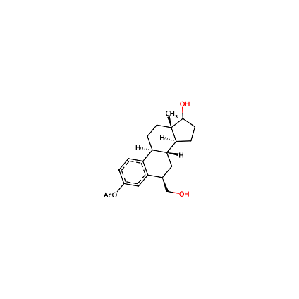 CC(=O)Oc1ccc2c(c1)[C@H](CO)C[C@@H]1[C@@H]2CC[C@]2(C)C(O)CC[C@@H]12